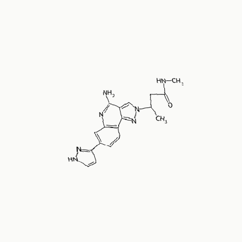 CNC(=O)CC(C)n1cc2c(N)nc3cc(-c4cc[nH]n4)ccc3c2n1